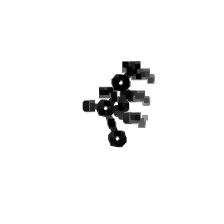 [CH2]COc1c(C#Cc2ccccc2)cc(Cl)cc1C(Nc1ccc(C(=N)N)cc1)C(=O)OC